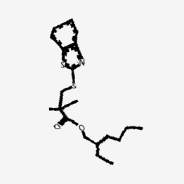 CCCCC(CC)COC(=O)C(C)(C)CSc1nc2ccccc2s1